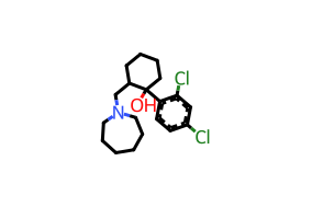 OC1(c2ccc(Cl)cc2Cl)CCCCC1CN1CCCCCC1